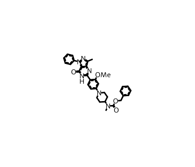 COc1cc(N2CCC(N(C)C(=O)OCc3ccccc3)CC2)ccc1-c1nc2c(C)nn(-c3ccccc3)c2c(=O)[nH]1